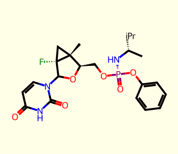 CC(C)[C@H](C)N[P@](=O)(OC[C@H]1OC(n2ccc(=O)[nH]c2=O)[C@@]2(F)C[C@]12C)Oc1ccccc1